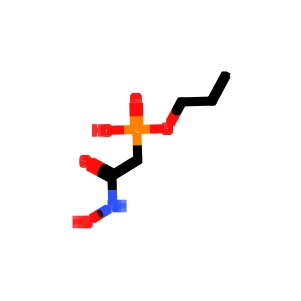 CCCOP(=O)(O)CC(=O)NO